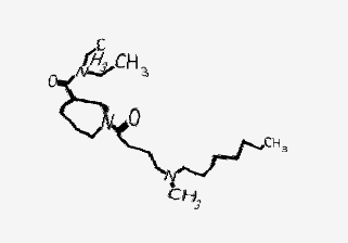 CCCCCCCN(C)CCCC(=O)N1CCCC(C(=O)N(CC)CC)C1